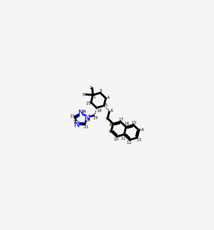 CC1(C)CC[C@H](CCc2ccc3ccccc3c2)[C@H](Cn2cncn2)C1